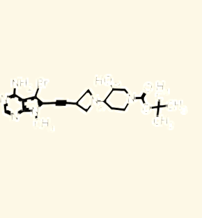 Cn1c(C#CC2CN([C@@H]3CCN(C(=O)OC(C)(C)C)C[C@@H]3O)C2)c(Br)c2c(N)ncnc21